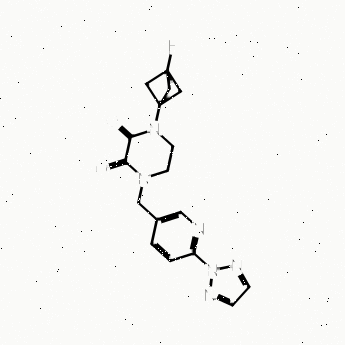 O=C1C(=O)N(C23CC(F)(C2)C3)CCN1Cc1ccc(-n2nccn2)nc1